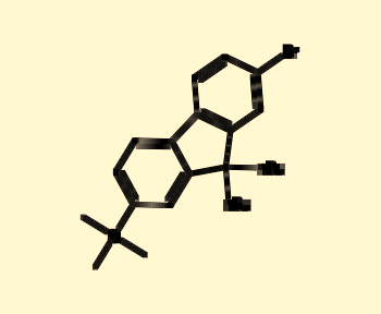 CCCCC1(CCCC)c2cc(Br)ccc2-c2ccc([Si](C)(C)C)cc21